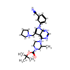 CC1CN(C(=O)OC(C)(C)C)CCN1c1ncnc2c1c(CN1CCCC1)cn2-c1cccc(C#N)c1